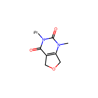 CC(C)n1c(=O)c2c(n(C)c1=O)COC2